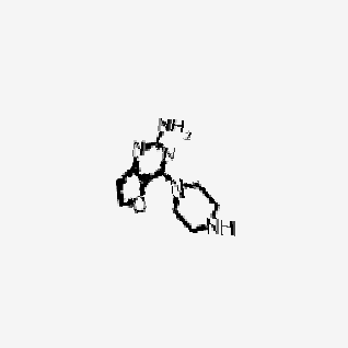 Nc1nc(N2CCNCC2)c2occc2n1